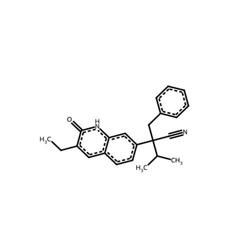 CCc1cc2ccc(C(C#N)(Cc3ccccc3)C(C)C)cc2[nH]c1=O